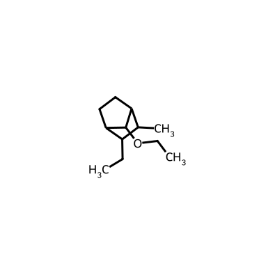 CCOC1C2CCC1C(CC)C2C